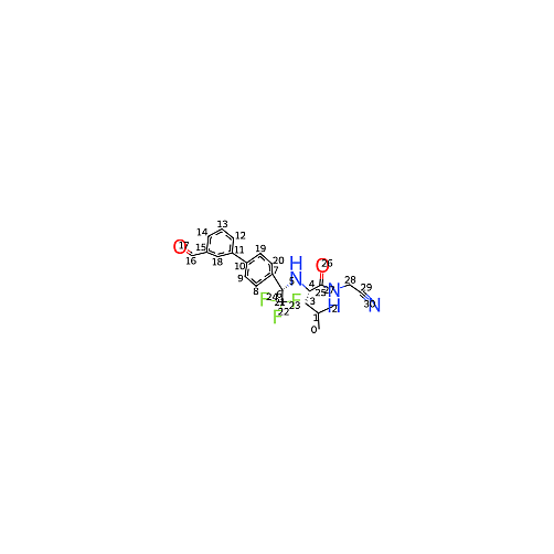 CC(C)C[C@H](N[C@@H](c1ccc(-c2cccc(C=O)c2)cc1)C(F)(F)F)C(=O)NCC#N